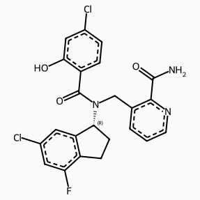 NC(=O)c1ncccc1CN(C(=O)c1ccc(Cl)cc1O)[C@@H]1CCc2c(F)cc(Cl)cc21